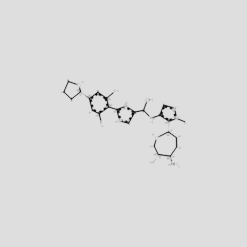 Cn1ncc(NC(O)c2csc(-c3c(F)cc([C@H]4CCCO4)cc3F)n2)c1[C@@H]1CC[C@@H](N)[C@H](F)CO1